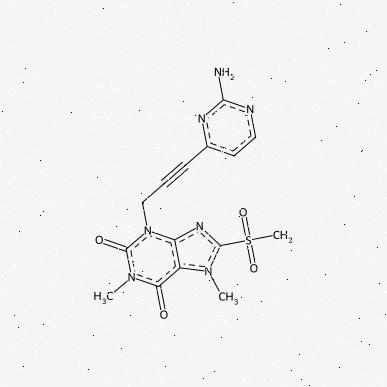 Cn1c(=O)c2c(nc(S(C)(=O)=O)n2C)n(CC#Cc2ccnc(N)n2)c1=O